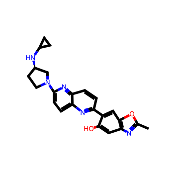 Cc1nc2cc(O)c(-c3ccc4nc(N5CC[C@@H](NC6CC6)C5)ccc4n3)cc2o1